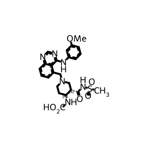 COc1cccc(Nc2ncnc3cccc(CN4CC[C@@H](NC(=O)O)[C@@H](C(=O)NS(C)(=O)=O)C4)c23)c1